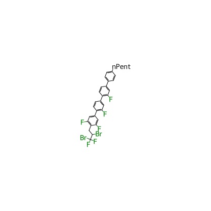 CCCCCc1ccc(-c2ccc(-c3ccc(-c4cc(F)c(CC(Br)C(F)(F)Br)c(F)c4)c(F)c3)c(F)c2)cc1